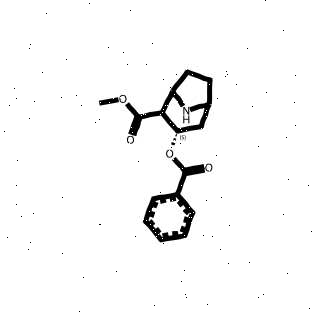 COC(=O)C1C2CCC(C[C@@H]1OC(=O)c1ccccc1)N2